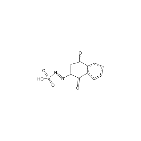 O=C1C=C(N=NS(=O)(=O)O)C(=O)c2ccccc21